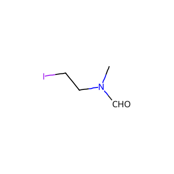 CN(C=O)CCI